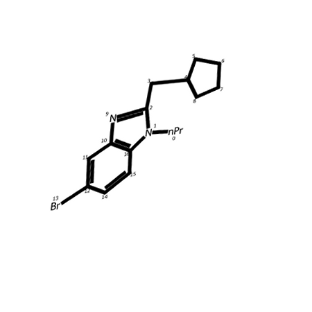 CCCn1c(CC2CCCC2)nc2cc(Br)ccc21